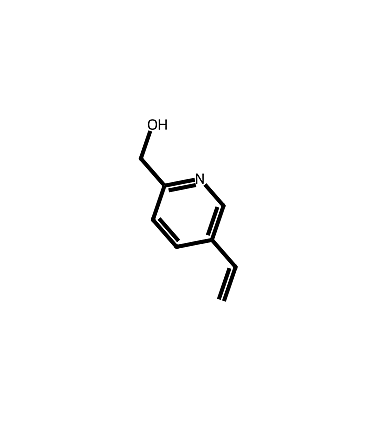 C=Cc1ccc(CO)nc1